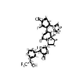 O=C1C=C(c2c(-n3cnnn3)ccc(Cl)c2F)C[C@@H]2CC[C@@H](c3nc(Cl)c(-c4ccnc([C@H](O)C(F)(F)F)c4)[nH]3)N12